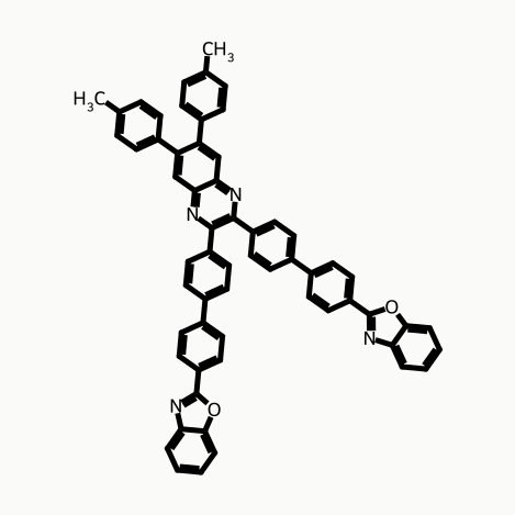 Cc1ccc(-c2cc3nc(-c4ccc(-c5ccc(-c6nc7ccccc7o6)cc5)cc4)c(-c4ccc(-c5ccc(-c6nc7ccccc7o6)cc5)cc4)nc3cc2-c2ccc(C)cc2)cc1